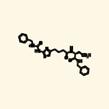 O=C(O)C[C@H](NC(=O)CCCc1csc(NC(=O)NCc2ccccc2)n1)C(=O)NCc1ccccc1